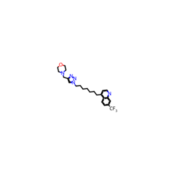 FC(F)(F)c1ccc2c(CCCCCCCn3cc(CN4CCOCC4)nn3)ccnc2c1